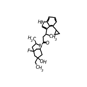 CCC1(O)CC2CC(F)(CC(C)N2C(=O)CC(C)c2c[nH]c3cccc(C4CC4)c23)C1